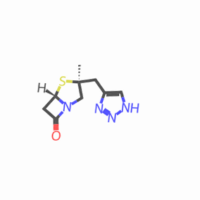 C[C@]1(Cc2c[nH]nn2)CN2C(=O)C[C@@H]2S1